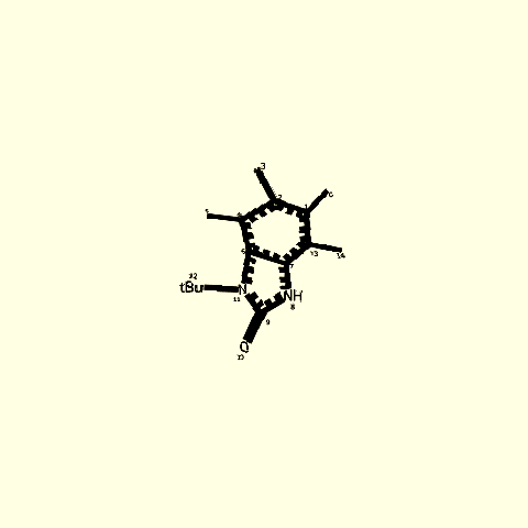 Cc1c(C)c(C)c2c([nH]c(=O)n2C(C)(C)C)c1C